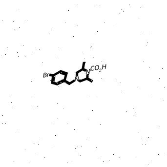 CC1CN(Cc2ccc(Br)cc2)CC(C)N1C(=O)O